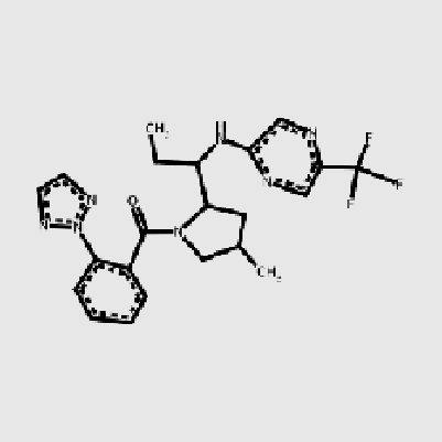 CCC(Nc1cnc(C(F)(F)F)cn1)C1CC(C)CN1C(=O)c1ccccc1-n1nccn1